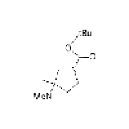 CNC1(C)CCN(C(=O)OC(C)(C)C)C1